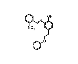 O=[N+]([O-])c1ccccc1N=Nc1cc(CCOc2ccccc2)ccc1O